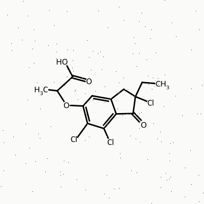 CCC1(Cl)Cc2cc(OC(C)C(=O)O)c(Cl)c(Cl)c2C1=O